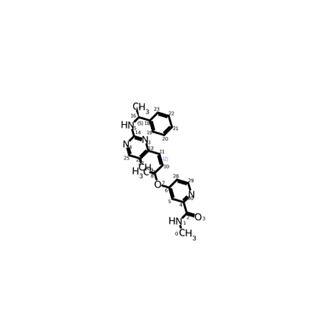 CNC(=O)c1cc(OC(C)/C=C\c2nc(N[C@@H](C)c3ccccc3)ncc2C)ccn1